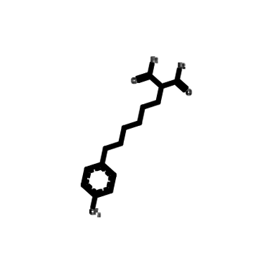 CCC(=O)C(CCCCCCc1ccc(C(F)(F)F)cc1)C(=O)CC